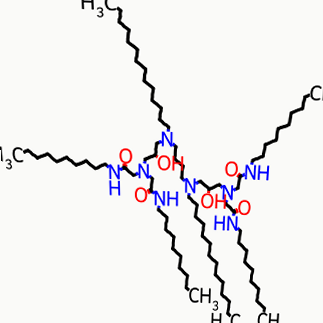 CCCCCCCCCCCCCCN(CCCCN(CCCCCCCCCCCCCC)CC(O)CN(CC(=O)NCCCCCCCCCC)CC(=O)NCCCCCCCCCC)CC(O)CN(CC(=O)NCCCCCCCCCC)CC(=O)NCCCCCCCCCC